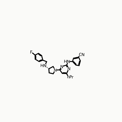 CCCc1cc(N2CC[C@H](NCc3ccc(F)cc3)C2)nc(Nc2cccc(C#N)c2)n1